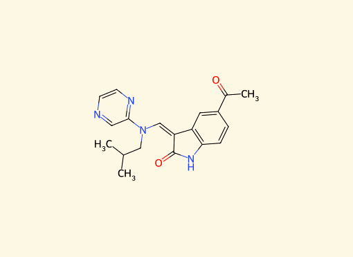 CC(=O)c1ccc2c(c1)C(=CN(CC(C)C)c1cnccn1)C(=O)N2